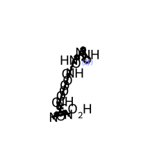 C=C1/C=C\C=C/CCC(Nc2nc(-c3ccc(NC(=O)CCCCCNC(=O)CCOCCOCCOCCOCCNC(=O)c4ccc(-c5c6ccc(=[N+](C)C)cc-6oc6cc(N(C)C)ccc56)c(C(=O)O)c4)cc3)nc3ccccc23)C1